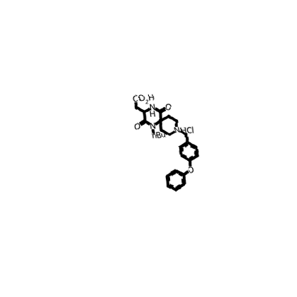 CCCCN1C(=O)C(CC(=O)O)NC(=O)C12CCN(Cc1ccc(Oc3ccccc3)cc1)CC2.Cl